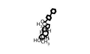 C[C@@]1(O)CC[C@@]2(C)[C@H](CC[C@@H]3[C@@H]2CC[C@]2(C)[C@@H](C(=O)c4ccc(-c5ccccc5)cc4)CC[C@@H]32)C1